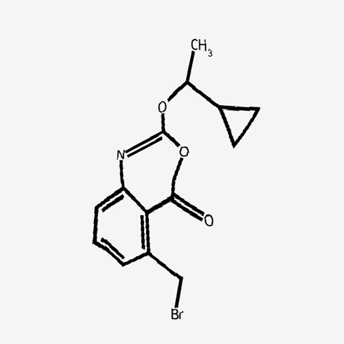 CC(Oc1nc2cccc(CBr)c2c(=O)o1)C1CC1